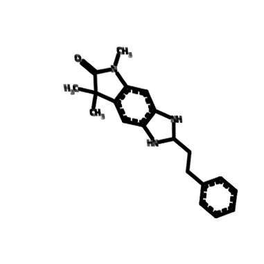 CN1C(=O)C(C)(C)c2cc3c(cc21)NC(CCc1ccccc1)N3